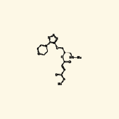 CC(C)(C)NC[C@@H](COc1nsnc1N1CCOCC1)OC(=O)/C=C/C(=O)OC(C)(C)C